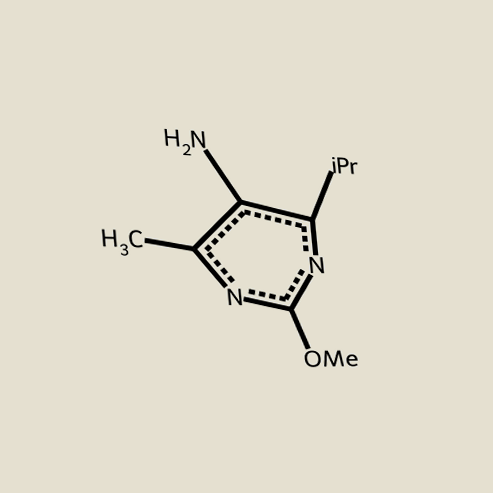 COc1nc(C)c(N)c(C(C)C)n1